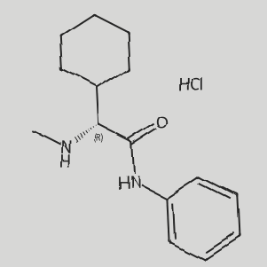 CN[C@@H](C(=O)Nc1ccccc1)C1CCCCC1.Cl